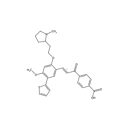 COc1cc(OCCC2CCCN2C)c(/C=C/C(=O)c2ccc(C(=O)O)cc2)cc1-c1cccs1